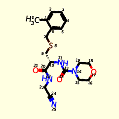 Cc1ccccc1CSC[C@H](NC(=O)N1CCOCC1)C(=O)NCC#N